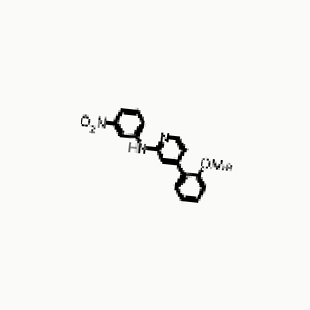 COc1ccccc1-c1ccnc(Nc2cccc([N+](=O)[O-])c2)c1